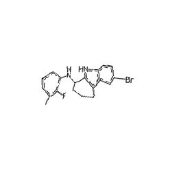 Cc1cccc(NC2CCCc3c2[nH]c2ccc(Br)cc32)c1F